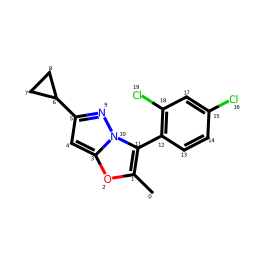 Cc1oc2cc(C3CC3)nn2c1-c1ccc(Cl)cc1Cl